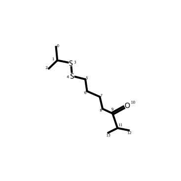 CC(C)SSCCCCC(=O)C(C)C